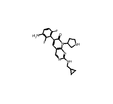 Nc1ccc(F)c(-c2cc3cnc(NCC4CC4)nc3n(C3CCNC3)c2=O)c1F